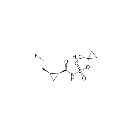 CC1(OS(=O)(=O)NC(=O)[C@H]2C[C@H]2CCF)CC1